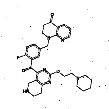 O=C1CCN(Cc2ccc(F)c(C(=O)c3nc(OCCN4CCCCC4)nc4c3CNCC4)c2)c2ncccc21